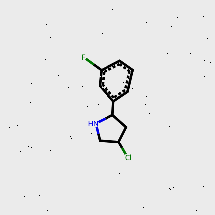 Fc1cccc(C2CC(Cl)CN2)c1